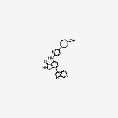 O=C1NCc2c(-c3cnc4cnccn34)ccc(Nc3ccc(C4CCCC(O)CC4)cn3)c21